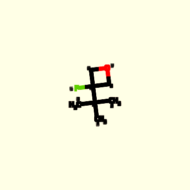 CC(C)(C)C1(F)COC1